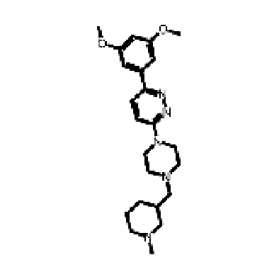 COc1cc(OC)cc(-c2ccc(N3CCN(CC4CCCN(C)C4)CC3)nn2)c1